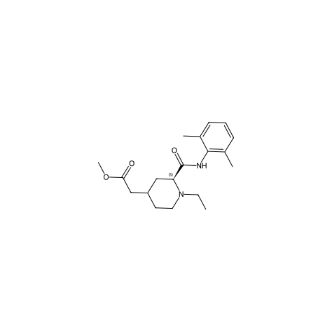 CCN1CCC(CC(=O)OC)C[C@H]1C(=O)Nc1c(C)cccc1C